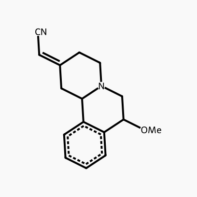 COC1CN2CCC(=CC#N)CC2c2ccccc21